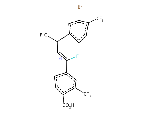 O=C(O)c1ccc(/C(F)=C/C(c2ccc(C(F)(F)F)c(Br)c2)C(F)(F)F)cc1C(F)(F)F